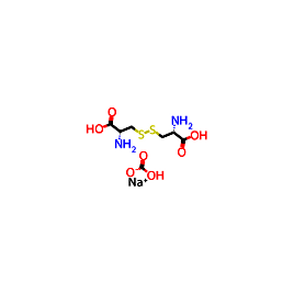 N[C@@H](CSSC[C@H](N)C(=O)O)C(=O)O.O=C([O-])O.[Na+]